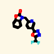 O=c1oc2ccccc2n1Cc1ccc(-c2nnc(C(F)F)o2)cn1